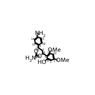 COc1cc(O)c(C(CCc2ccc(N)cc2)OC(N)=O)c(OC)c1